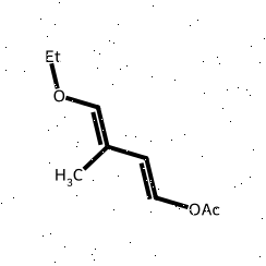 CCO/C=C(C)/C=C/OC(C)=O